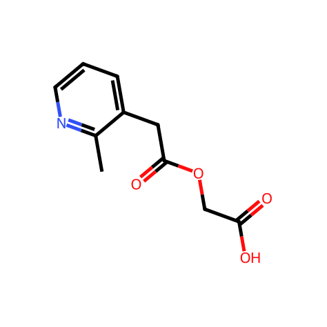 Cc1ncccc1CC(=O)OCC(=O)O